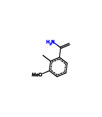 C=C(N)c1cccc(OC)c1C